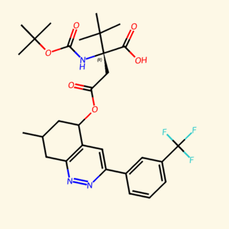 CC1Cc2nnc(-c3cccc(C(F)(F)F)c3)cc2C(OC(=O)C[C@](NC(=O)OC(C)(C)C)(C(=O)O)C(C)(C)C)C1